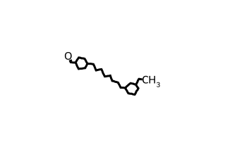 CCC1CCCC(CCCCCCCCC2CCC(C=O)CC2)C1